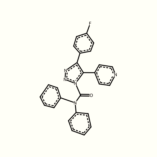 O=C(N(c1ccccc1)c1ccccc1)n1nnc(-c2ccc(F)cc2)c1-c1ccncc1